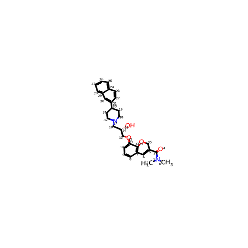 CN(C)C(=O)C1=Cc2cccc(OC[C@@H](O)CN3CCC(c4ccc5ccccc5c4)CC3)c2OC1